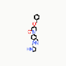 O=c1cc(OCc2ccccc2)ccn1-c1ccc2c(cnn2C[C@@H]2CCCN2)c1